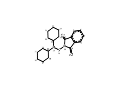 O=C1c2ccccc2C(=O)N1SN(C1CCCCC1)C1CCCCC1